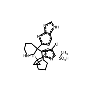 CS(=O)(=O)O.O=C(N1CCCC1)C1(c2ccc3[nH]cnc3n2)CCCN[C@H]1C1(n2cc(Cl)cn2)CC1